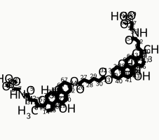 C[C@H](CCC(=O)NCCS(=O)(=O)O)[C@H]1CC[C@H]2[C@@H]3[C@@H](O)CC4C[C@H](OC(=O)CCCCC(=O)O[C@H]5CC[C@]6(C)C(C5)C[C@@H](O)[C@@H]5[C@H]7CC[C@@H]([C@@H](C)CCC(=O)NCCS(=O)(=O)O)[C@]7(C)CC[C@H]56)CC[C@]4(C)[C@H]3CC[C@]12C